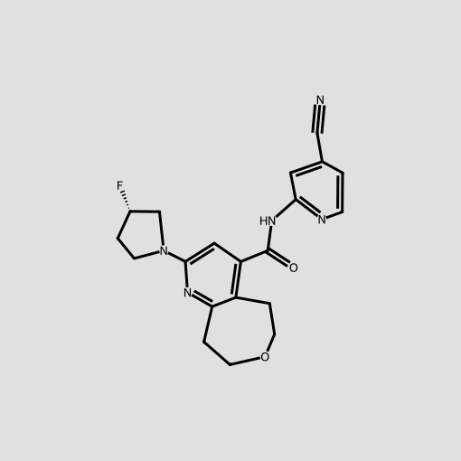 N#Cc1ccnc(NC(=O)c2cc(N3CC[C@H](F)C3)nc3c2CCOCC3)c1